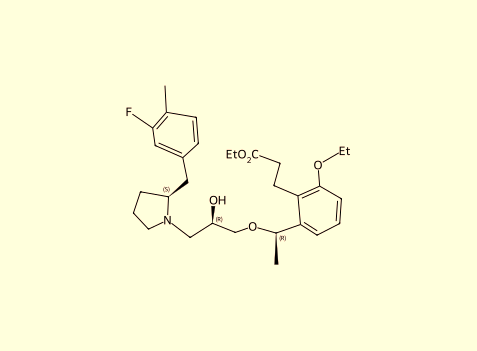 CCOC(=O)CCc1c(OCC)cccc1[C@@H](C)OC[C@H](O)CN1CCC[C@H]1Cc1ccc(C)c(F)c1